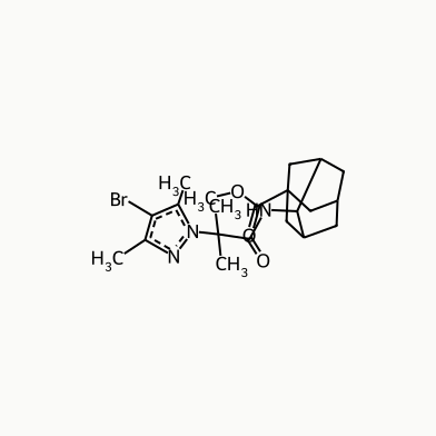 COC(=O)C12CC3CC(C1)C(NC(=O)C(C)(C)n1nc(C)c(Br)c1C)C(C3)C2